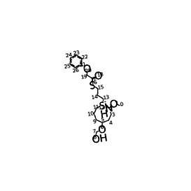 CON1CCC(OCO)CCC[SiH]1CCCSC(=O)COc1ccccc1